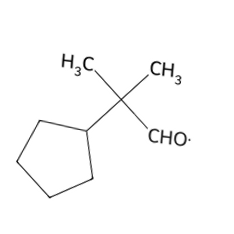 CC(C)([C]=O)C1CCCC1